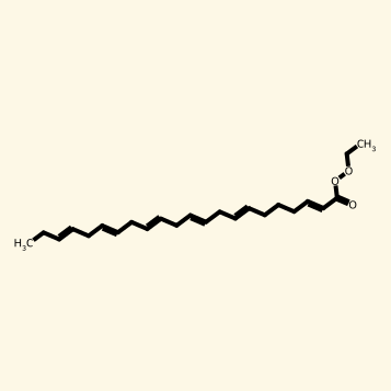 CCC=CCC=CCC=CCC=CCC=CCCCC=CC(=O)OOCC